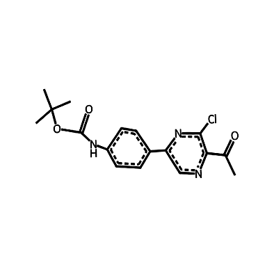 CC(=O)c1ncc(-c2ccc(NC(=O)OC(C)(C)C)cc2)nc1Cl